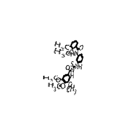 COc1cc(C(=O)NC(=S)Nc2cccc(NC(=O)C3=CC=CC(C)C3OC)c2)cc(OC)c1OC